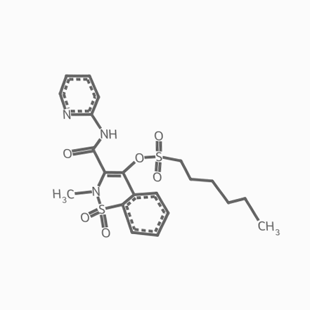 CCCCCCS(=O)(=O)OC1=C(C(=O)Nc2ccccn2)N(C)S(=O)(=O)c2ccccc21